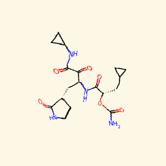 NC(=O)O[C@@H](CC1CC1)C(=O)NC(C[C@@H]1CCNC1=O)C(=O)C(=O)NC1CC1